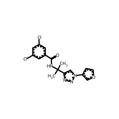 CC(C)(NC(=O)c1cc(Cl)cc(Cl)c1)c1cn(-c2ccoc2)nn1